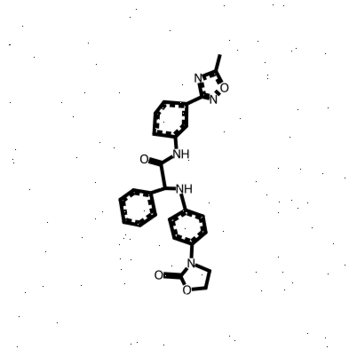 Cc1nc(-c2cccc(NC(=O)C(Nc3ccc(N4CCOC4=O)cc3)c3ccccc3)c2)no1